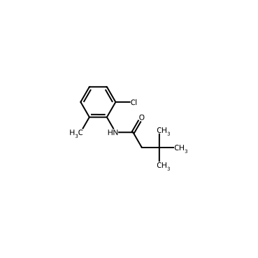 Cc1cccc(Cl)c1NC(=O)CC(C)(C)C